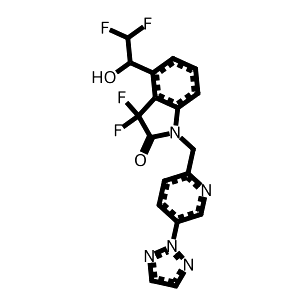 O=C1N(Cc2ccc(-n3nccn3)cn2)c2cccc(C(O)C(F)F)c2C1(F)F